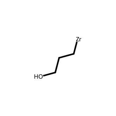 OCC[CH2][Zr]